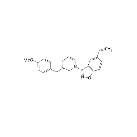 C=Cc1ccc2onc(N3C=CCN(Cc4ccc(OC)cc4)C3)c2c1